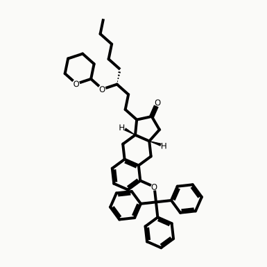 CCCCC[C@H](CCC1C(=O)C[C@@H]2Cc3c(cccc3OC(c3ccccc3)(c3ccccc3)c3ccccc3)C[C@H]12)OC1CCCCO1